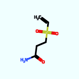 C=CS(=O)(=O)CCC(N)=O